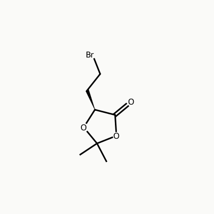 CC1(C)OC(=O)[C@H](CCBr)O1